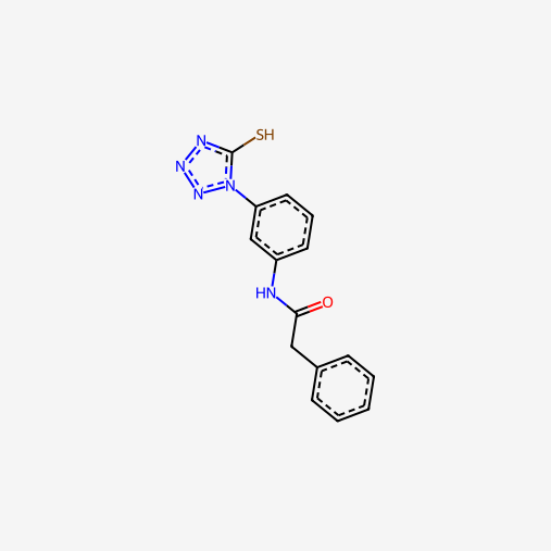 O=C(Cc1ccccc1)Nc1cccc(-n2nnnc2S)c1